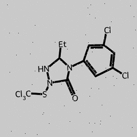 CCC1NN(SC(Cl)(Cl)Cl)C(=O)N1c1cc(Cl)cc(Cl)c1